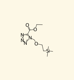 CCOC(=O)c1nnnn1COCC[Si](C)(C)C